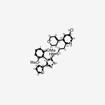 COc1cccc(OC)c1-n1c(NSCCc2ncc(Cl)cc2C2=CCOCC2)nnc1-c1ccco1